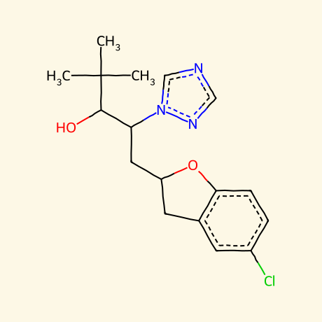 CC(C)(C)C(O)C(CC1Cc2cc(Cl)ccc2O1)n1cncn1